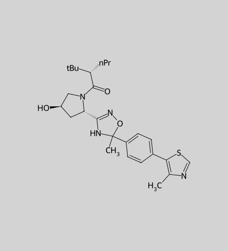 CCC[C@H](C(=O)N1C[C@H](O)C[C@H]1C1=NOC(C)(c2ccc(-c3scnc3C)cc2)N1)C(C)(C)C